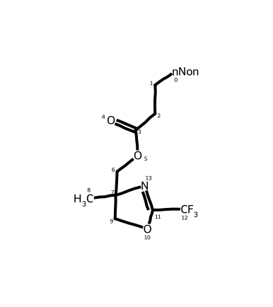 CCCCCCCCCCCC(=O)OCC1(C)COC(C(F)(F)F)=N1